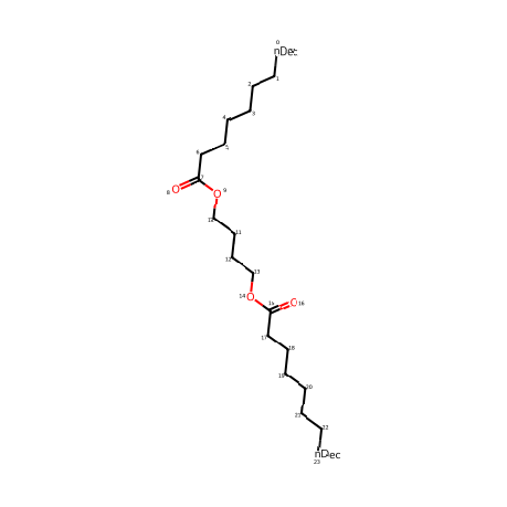 CCCCCCCCCCCCCCCCC(=O)OCCCCOC(=O)CCCCCCCCCCCCCCCC